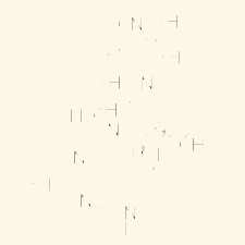 [2H]c1nc(N(C)[C@@]2([2H])C([2H])([2H])N(C(=O)C([2H])([2H])[N+]#[C-])CC[C@@]2([2H])C)c2cc[nH]c2n1